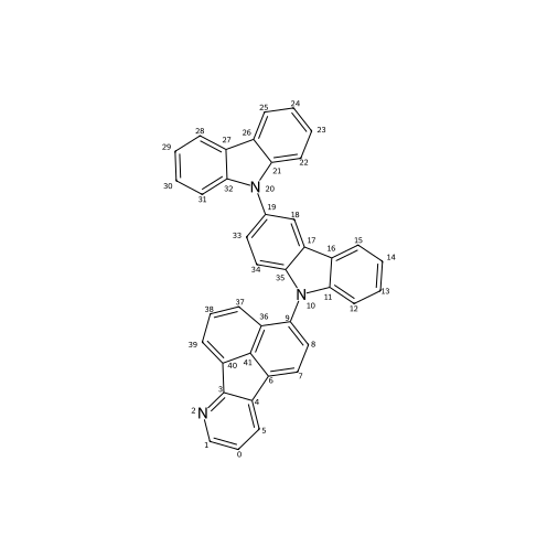 c1cnc2c(c1)-c1ccc(-n3c4ccccc4c4cc(-n5c6ccccc6c6ccccc65)ccc43)c3cccc-2c13